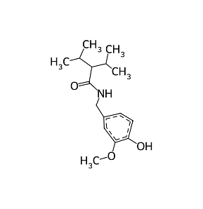 COc1cc(CNC(=O)C(C(C)C)C(C)C)ccc1O